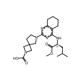 COC(=O)[C@H](CC(C)C)Nc1nc(N2CCC3(CN(C(=O)O)C3)C2)nc2c1CCCC2